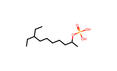 CCC(CC)CCCCCC(C)OP(=O)(O)O